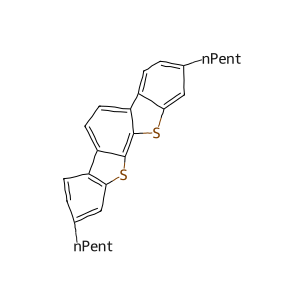 CCCCCc1ccc2c(c1)sc1c2ccc2c3ccc(CCCCC)cc3sc21